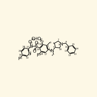 Cc1c(N(C)[C@H]2CCN(Cc3ccccc3)C2)cc(F)c(S(=O)(=O)N(OC=O)c2ccc(F)cn2)c1F